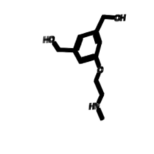 CNCCOc1cc(CO)cc(CO)c1